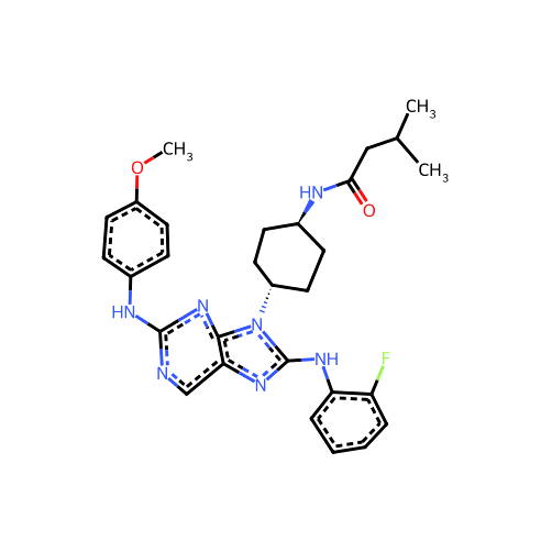 COc1ccc(Nc2ncc3nc(Nc4ccccc4F)n([C@H]4CC[C@H](NC(=O)CC(C)C)CC4)c3n2)cc1